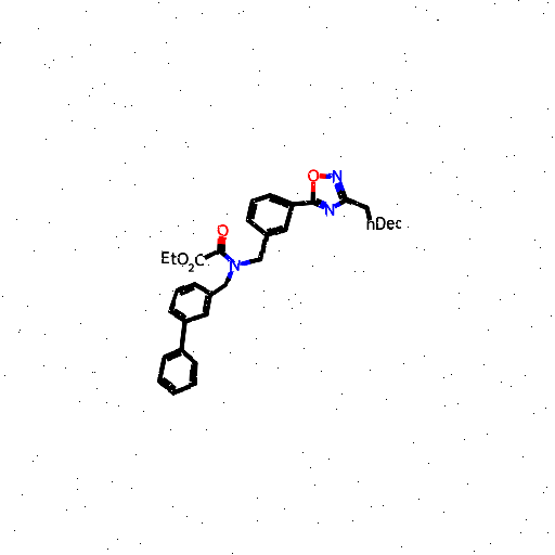 CCCCCCCCCCCc1noc(-c2cccc(CN(Cc3cccc(-c4ccccc4)c3)C(=O)C(=O)OCC)c2)n1